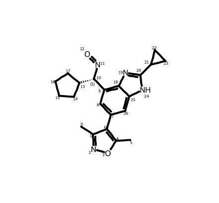 Cc1noc(C)c1-c1cc([C@@H](N=O)C2CCCC2)c2nc(C3CC3)[nH]c2c1